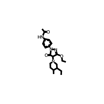 CCOC1=NN(c2ccc(NC(C)=O)cc2)C(=O)C1N1CCC(C)C(CC)C1